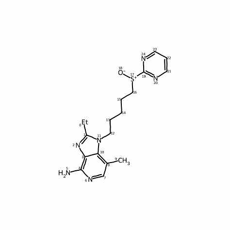 CCc1nc2c(N)ncc(C)c2n1CCCCC[S+]([O-])c1ncccn1